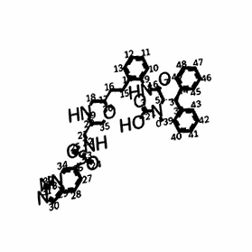 CN(C(=O)O)[C@H](C(=O)Nc1ccccc1CC[C@@H]1CN[C@H](CNS(=O)(=O)c2ccc3cnnn3c2)CO1)C(c1ccccc1)c1ccccc1